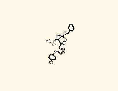 O=C(O)CC(NC(=O)OCc1ccccc1)C(=O)Cn1nnnc1Sc1ccc(Cl)cc1